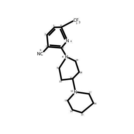 N#Cc1ccc(C(F)(F)F)nc1N1CCC(N2CCCCC2)CC1